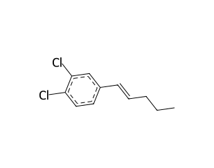 CCC/C=C/c1ccc(Cl)c(Cl)c1